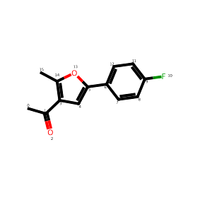 CC(=O)c1cc(-c2ccc(F)cc2)oc1C